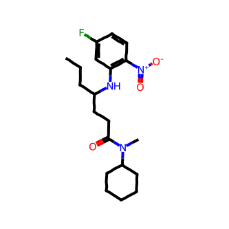 CCCC(CCC(=O)N(C)C1CCCCC1)Nc1cc(F)ccc1[N+](=O)[O-]